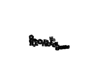 CCC(CC)(c1ccc(C#CC2(O)CCCC2)c(C)c1)c1ccc(-c2ccc(CC(=O)OC)nc2)c(C)c1